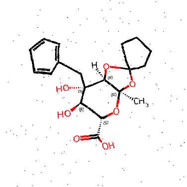 C[C@]12O[C@H](C(=O)O)[C@@H](O)[C@@](O)(Cc3ccccc3)[C@H]1OC1(CCCC1)O2